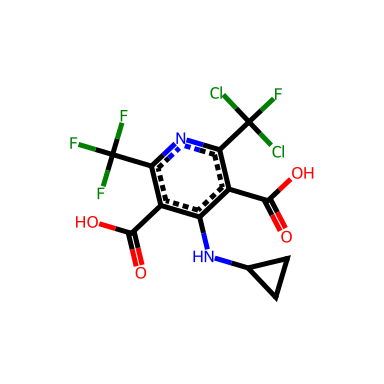 O=C(O)c1c(C(F)(F)F)nc(C(F)(Cl)Cl)c(C(=O)O)c1NC1CC1